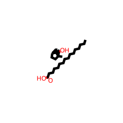 CC1(C)C2CCC1(C)C(O)C2.CCCCCCCCCCCCCCCC(=O)O